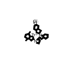 Cc1ccc(C)c2c1C=C(n1cccc1)[CH]2[Zr+2][CH]1C(n2ccc3ccccc32)=Cc2ccccc21.[Cl-].[Cl-]